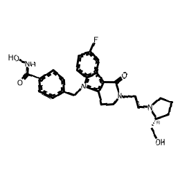 O=C(NO)c1ccc(Cn2c3c(c4cc(F)ccc42)C(=O)N(CCN2CCC[C@@H]2CO)CC3)cc1